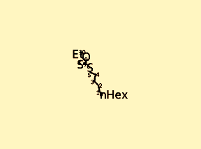 CCCCCCCCCCCSC(=S)OCC